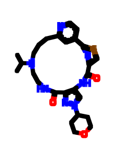 CC(C)N1CCCc2cc(ccn2)-c2nc(cs2)C(=O)Nc2cn(C3CCOCC3)nc2C(=O)NCC1